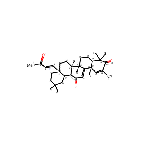 COC(=O)/C=C/[C@]12CCC(C)(C)CC1C1C(=O)C=C3[C@@]4(C)C=C(C#N)C(=O)C(C)(C)C4CC[C@@]3(C)[C@]1(C)CC2